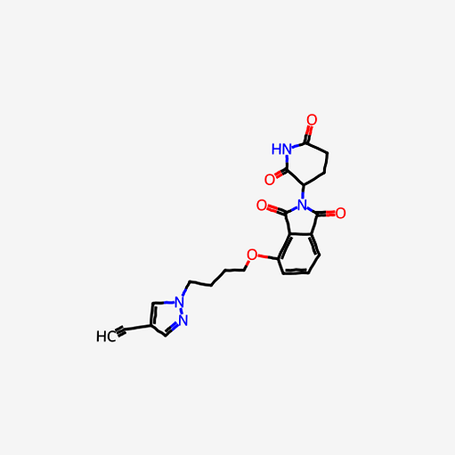 C#Cc1cnn(CCCCOc2cccc3c2C(=O)N(C2CCC(=O)NC2=O)C3=O)c1